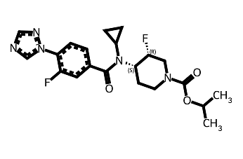 CC(C)OC(=O)N1CC[C@H](N(C(=O)c2ccc(-n3cncn3)c(F)c2)C2CC2)[C@H](F)C1